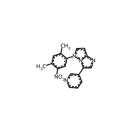 Cc1cc(C)c([N+](=O)[O-])cc1-n1ccc2ncc(-c3cccnc3)n21